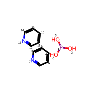 OP(O)O.c1ccncc1.c1ccncc1